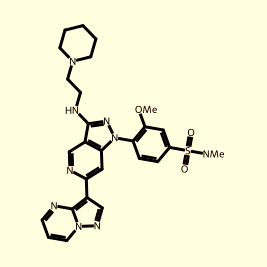 CNS(=O)(=O)c1ccc(-n2nc(NCCN3CCCCC3)c3cnc(-c4cnn5cccnc45)cc32)c(OC)c1